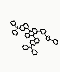 c1ccc(-c2ccc(-c3cccc(-c4ccc5c(-c6cccc7cc(N(c8ccccc8)c8ccccc8)ccc67)c6ccccc6c(-c6cccc7cc(N(c8ccccc8)c8ccccc8)ccc67)c5c4)c3)s2)cc1